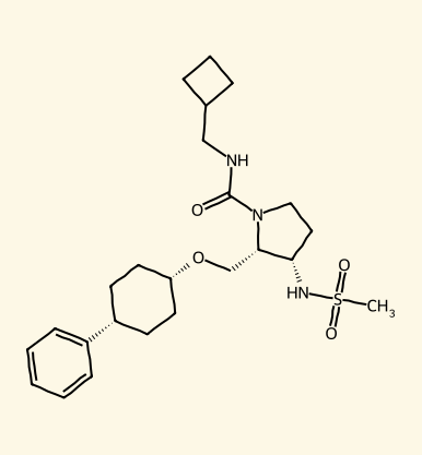 CS(=O)(=O)N[C@H]1CCN(C(=O)NCC2CCC2)[C@H]1CO[C@H]1CC[C@@H](c2ccccc2)CC1